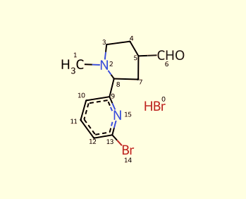 Br.CN1CCC(C=O)CC1c1cccc(Br)n1